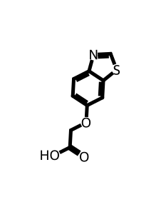 O=C(O)COc1ccc2ncsc2c1